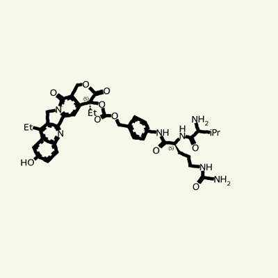 CCc1c2c(nc3ccc(O)cc13)-c1cc3c(c(=O)n1C2)COC(=O)[C@@]3(CC)OC(=O)OCc1ccc(NC(=O)[C@H](CCCNC(N)=O)NC(=O)C(N)C(C)C)cc1